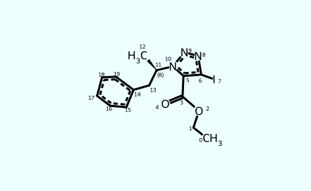 CCOC(=O)c1c(I)nnn1[C@H](C)Cc1ccccc1